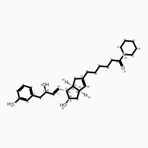 Cc1cccc(C[C@@H](O)/C=C/[C@@H]2[C@H]3CC(CCCCCC(=O)N4CCCCC4)=C[C@H]3C[C@H]2O)c1